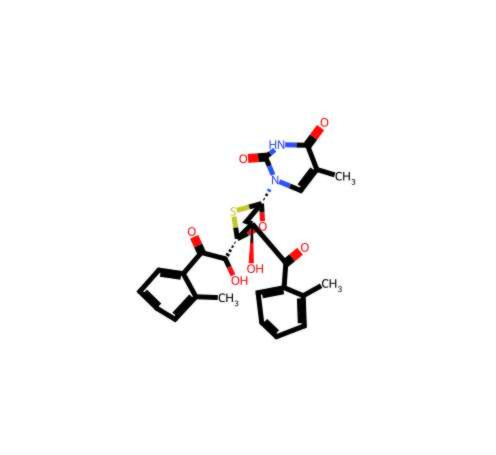 Cc1ccccc1C(=O)C(O)[C@@]12O[C@@](n3cc(C)c(=O)[nH]c3=O)(C[C@@]1(O)C(=O)c1ccccc1C)S2